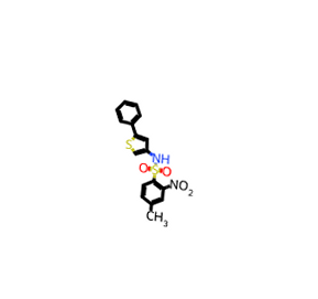 Cc1ccc(S(=O)(=O)Nc2csc(-c3ccccc3)c2)c([N+](=O)[O-])c1